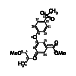 COCC(C)Oc1cc(Oc2ccc(S(C)(=O)=O)cc2)cc(C(=O)OC)c1